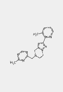 Cc1cccc(CN2CCn3nc(-c4ncccc4C)cc3C2)n1